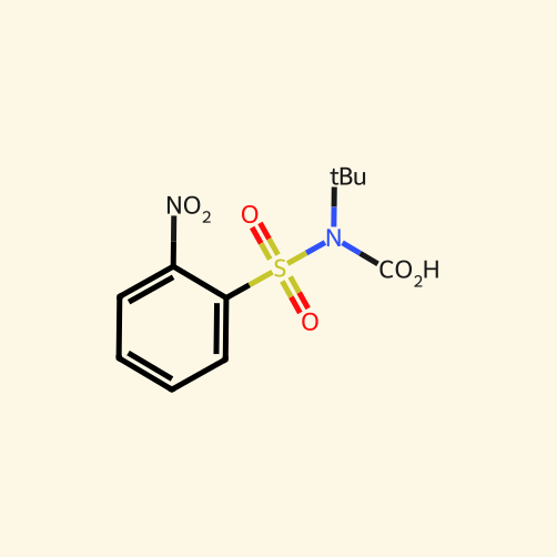 CC(C)(C)N(C(=O)O)S(=O)(=O)c1ccccc1[N+](=O)[O-]